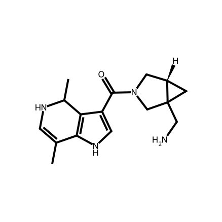 CC1=CNC(C)c2c(C(=O)N3C[C@@H]4CC4(CN)C3)c[nH]c21